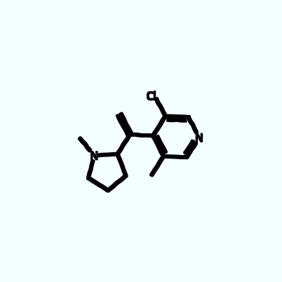 C=C(c1c(C)cncc1Cl)C1CCCN1C